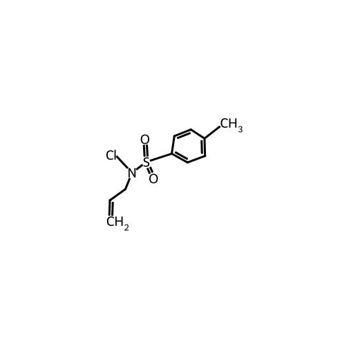 C=CCN(Cl)S(=O)(=O)c1ccc(C)cc1